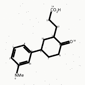 CNc1cccc(C2CCC(=O)C(CCC(=O)O)C2)c1